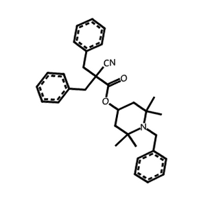 CC1(C)CC(OC(=O)C(C#N)(Cc2ccccc2)Cc2ccccc2)CC(C)(C)N1Cc1ccccc1